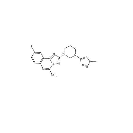 Cn1cc(N2CCC[C@@H](c3nc4c5cc(F)ccc5nc(N)n4n3)C2)cn1